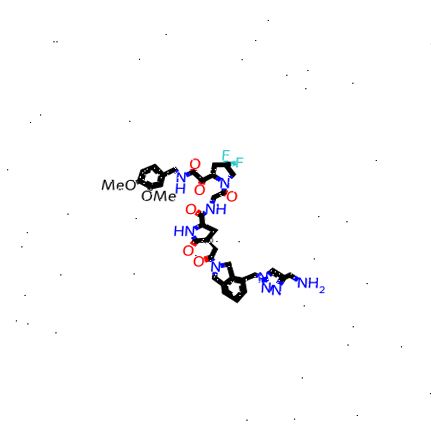 COc1ccc(CNC(=O)C(=O)C2CC(F)(F)CN2C(=O)CNC(=O)C2C[C@@H](CC(=O)N3Cc4cccc(Cn5cc(CN)nn5)c4C3)C(=O)N2)cc1OC